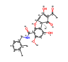 COc1cc(O)c2c(c1C(=O)NCc1cccc(C)c1C)OC1=CC(O)=C(C(C)=O)C(=O)[C@]12C